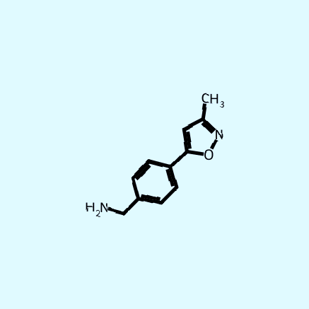 Cc1cc(-c2ccc(CN)cc2)on1